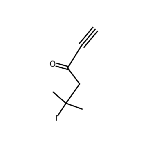 C#CC(=O)CC(C)(C)I